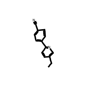 CCc1ccc(-c2ccc(C#N)cc2)nc1